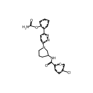 NC(=O)Oc1ccccc1-c1ccc(N2CCCC(NC(=O)c3ccc(Cl)cc3)C2)nn1